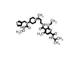 CCOc1nc(C(=O)NC(C)C)cc(C)c1C(=O)NCC[C@@H](C)N1CCC(N(Cc2ccsc2)C(=O)NOC)CC1